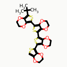 CC(C)(C)c1sc(-c2sc(-c3sc(-c4scc5c4OCCO5)c4c3OCCO4)c3c2OCCO3)c2c1OCCO2